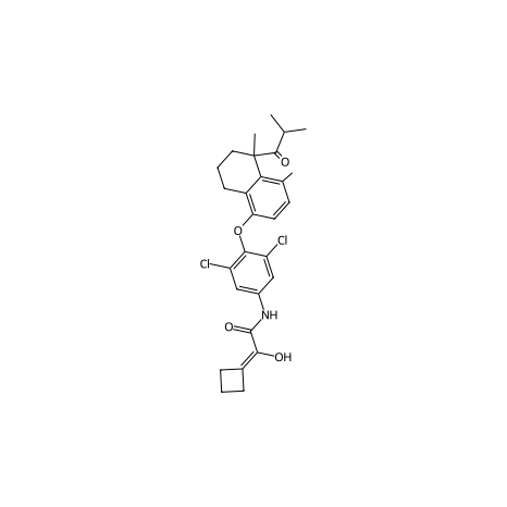 Cc1ccc(Oc2c(Cl)cc(NC(=O)C(O)=C3CCC3)cc2Cl)c2c1C(C)(C(=O)C(C)C)CCC2